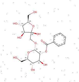 O=C(O[C@H]1[C@@H](OC[C@@]2(O)O[C@H](CO)[C@@H](O)[C@@H]2O)O[C@H](CO)[C@@H](O)[C@@H]1O)c1ccccc1